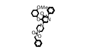 COC1CCCC(Oc2c(N3CCN(S(=O)(=O)Cc4ccccc4)CC3)cnn(-c3ccccc3)c2=O)C1